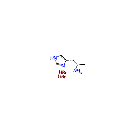 Br.Br.C[C@@H](N)Cc1c[nH]cn1